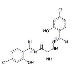 CC/C(=N\NC(=N)N/N=C(\CC)c1ccc(Cl)cc1O)c1ccc(Cl)cc1O